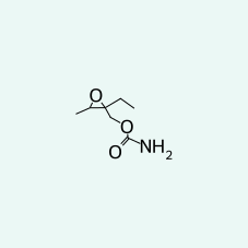 CCC1(COC(N)=O)OC1C